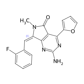 CN1C(=O)c2c(nc(N)nc2-c2ccco2)/C1=C\c1ccccc1F